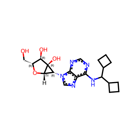 OC[C@H]1O[C@H]2[C@@H](n3cnc4c(NC(C5CCC5)C5CCC5)ncnc43)[C@@]2(O)[C@@H]1O